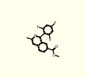 COC(=O)c1ccc2cc(C)nc(-c3c(F)cc(F)cc3F)c2c1